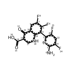 Nc1nc(-c2c(F)c(F)cc3c(=O)c(C(=O)O)c[nH]c23)c(F)cc1F